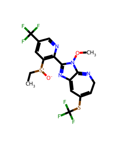 CC[S+]([O-])c1cc(C(F)(F)F)cnc1-c1nc2c(n1OC)=NCC=C(SC(F)(F)F)C=2